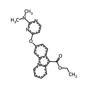 CCOC(=O)c1c2ccc(Oc3ccnc(N(C)C)n3)cc2n2ccccc12